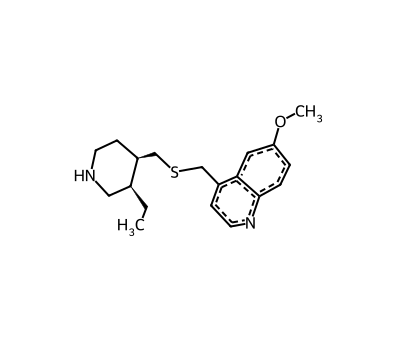 CC[C@H]1CNCC[C@H]1CSCc1ccnc2ccc(OC)cc12